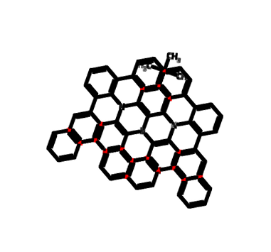 CC(C)(C)c1cc2c3c(c1)N(c1c(-c4ccccc4)cccc1-c1ccccc1)c1cc(-c4ccccc4)nc(-c4ccccc4)c1B3c1c(cc(-c3ccccc3)nc1-c1ccccc1)N2c1c(-c2ccccc2)cccc1-c1ccccc1